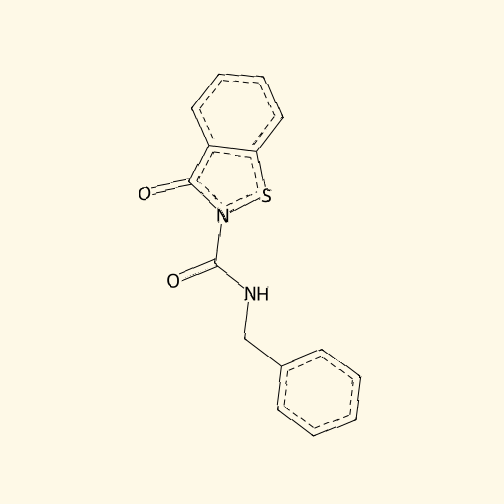 O=C(NCc1ccccc1)n1sc2ccccc2c1=O